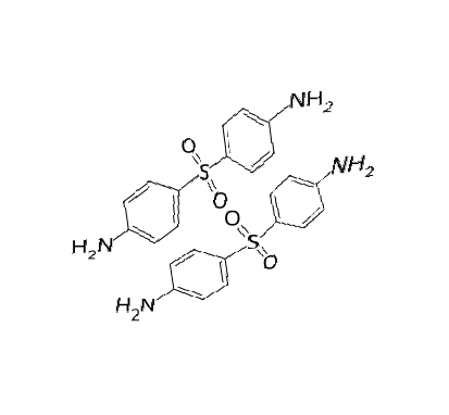 Nc1ccc(S(=O)(=O)c2ccc(N)cc2)cc1.Nc1ccc(S(=O)(=O)c2ccc(N)cc2)cc1